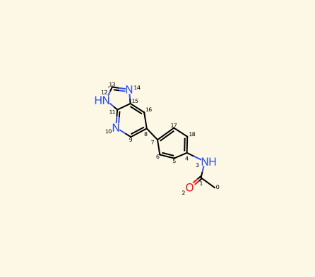 CC(=O)Nc1ccc(-c2cnc3[nH][c]nc3c2)cc1